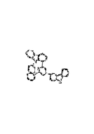 c1ccc(-c2cc(-c3ccc4sc5ccccc5c4c3)cc(-c3cccc4c5ccccc5n(-c5ccccc5)c34)n2)cc1